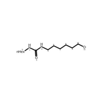 CCCCCCNC(=O)NCCCCCC[O]